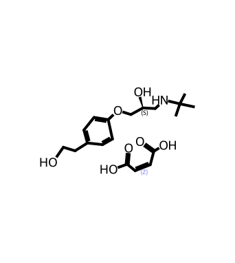 CC(C)(C)NC[C@H](O)COc1ccc(CCO)cc1.O=C(O)/C=C\C(=O)O